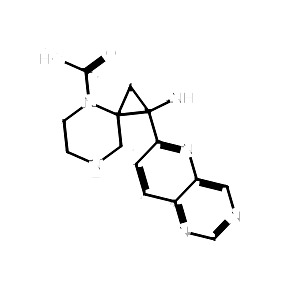 NC1(c2ccc3ncncc3n2)CC12CNCCN2C(=O)O